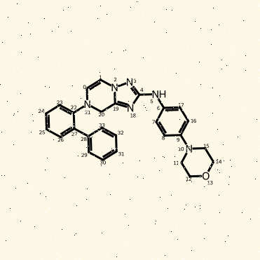 C1=Cn2nc(Nc3ccc(N4CCOCC4)cc3)nc2CN1c1ccccc1-c1ccccc1